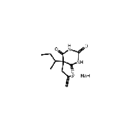 C=C(Br)CC1(C(C)CC)C(=O)NC(=O)NC1=O.[NaH]